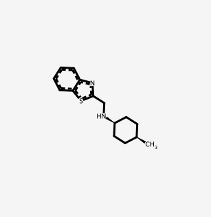 C[C@H]1CC[C@@H](NCc2nc3ccccc3s2)CC1